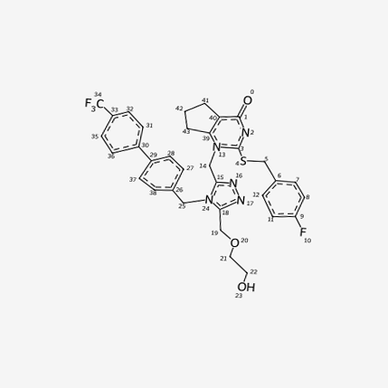 O=c1nc(SCc2ccc(F)cc2)n(Cc2nnc(COCCO)n2Cc2ccc(-c3ccc(C(F)(F)F)cc3)cc2)c2c1CCC2